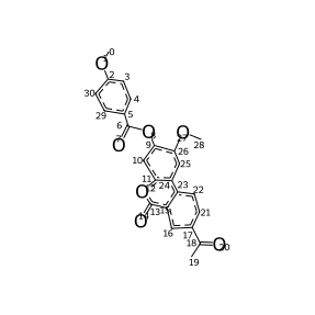 COc1ccc(C(=O)Oc2cc3oc(=O)c4cc(C(C)=O)ccc4c3cc2OC)cc1